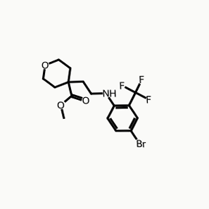 COC(=O)C1(CCNc2ccc(Br)cc2C(F)(F)F)CCOCC1